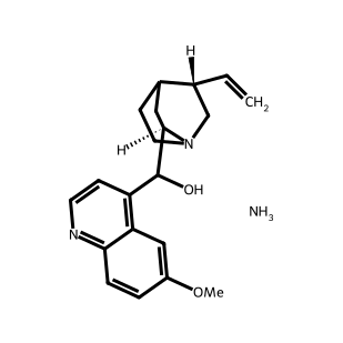 C=C[C@@H]1CN2CCC1C[C@@H]2C(O)c1ccnc2ccc(OC)cc12.N